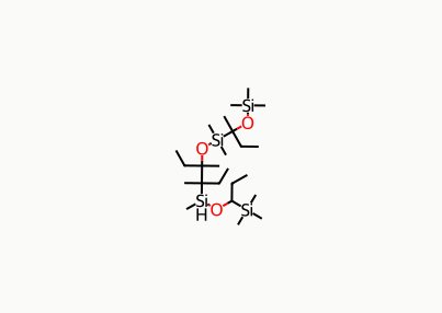 CCC(O[SiH](C)C(C)(CC)C(C)(CC)O[Si](C)(C)C(C)(CC)O[Si](C)(C)C)[Si](C)(C)C